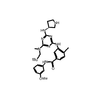 COc1cccc(NC(=O)c2ccc(C)c(Nc3nc(N[C@H]4CCNC4)nc(N(C)CC(C)(C)C)n3)c2)c1